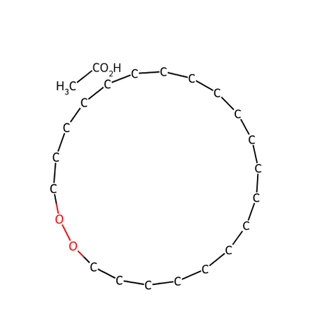 C1CCCCCCCCCCOOCCCCCCCCC1.CC(=O)O